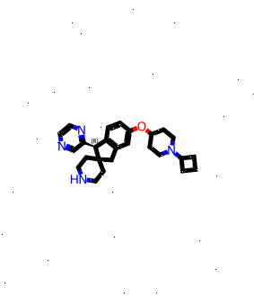 c1cnc([C@H]2c3ccc(OC4CCN(C5CCC5)CC4)cc3CC23CCNCC3)cn1